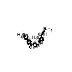 COCCNC(=O)c1ccc2nn(CC3CCN(C(=O)c4ccc(-c5cnc(C)nc5)cc4)CC3)cc2c1C